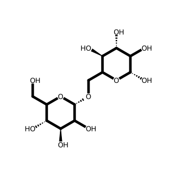 OCC1O[C@H](OCC2O[C@@H](O)C(O)[C@@H](O)[C@@H]2O)C(O)[C@@H](O)[C@@H]1O